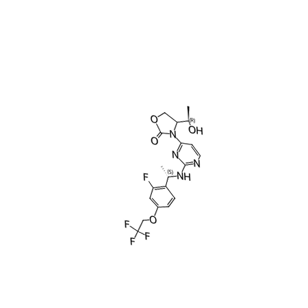 C[C@H](Nc1nccc(N2C(=O)OCC2[C@@H](C)O)n1)c1ccc(OCC(F)(F)F)cc1F